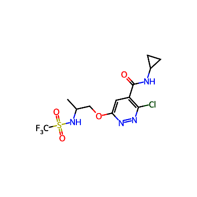 CC(COc1cc(C(=O)NC2CC2)c(Cl)nn1)NS(=O)(=O)C(F)(F)F